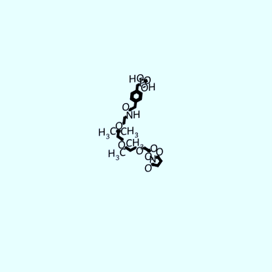 CC(C)(CCOCC(=O)ON1C(=O)CCC1=O)OCCC(C)(C)OCCNC(=O)Cc1ccc(CP(=O)(O)O)cc1